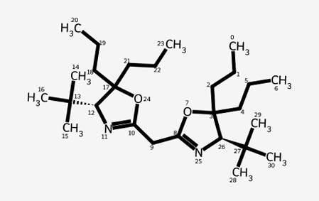 CCCC1(CCC)OC(CC2=N[C@H](C(C)(C)C)C(CCC)(CCC)O2)=N[C@@H]1C(C)(C)C